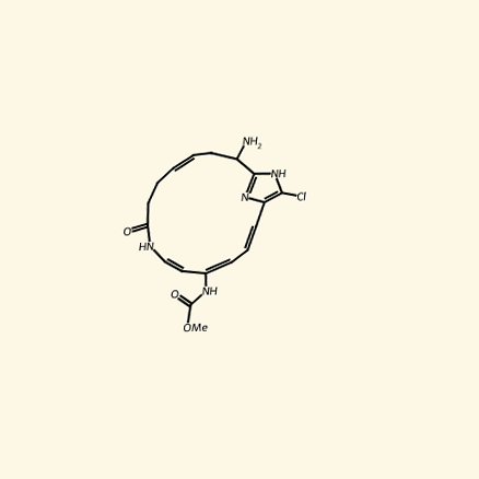 COC(=O)NC1=CC=Cc2nc([nH]c2Cl)C(N)CC=CCCC(=O)NC=C1